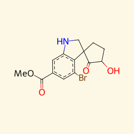 COC(=O)c1cc(Br)c2c(c1)NCC21CCC(O)C1=O